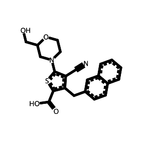 N#Cc1c(N2CCOC(CO)C2)sc(C(=O)O)c1Cc1ccc2ccccc2c1